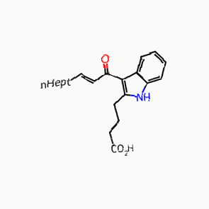 CCCCCCC/C=C/C(=O)c1c(CCCC(=O)O)[nH]c2ccccc12